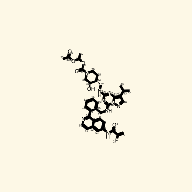 C=C(F)C(=O)Nc1ccc2c(-c3ccccc3CNc3nc(NC[C@H]4CCN(C(=O)OC(C)OC(C)=O)C[C@@H]4O)nc4c(C(C)C)cnn34)nccc2c1